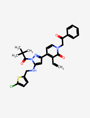 C=Cc1c(-c2cc(NCc3ccc(Cl)s3)n(C(=O)C(C)(C)C)n2)ccn(CC(=O)c2ccccc2)c1=O